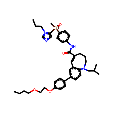 CCCCOCCOc1ccc(-c2ccc3c(c2)C=C(C(=O)Nc2ccc([SH](C)(=O)c4cncn4CCC)cc2)CCCN3CC(C)C)cc1